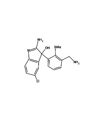 CNc1c(CN)cccc1C1(O)C(N)=Nc2ccc(Cl)cc21